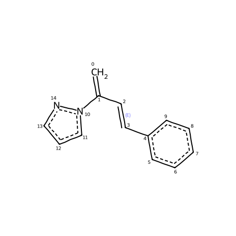 C=C(/C=C/c1ccccc1)n1cccn1